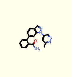 Cc1cc(-n2ncc3ccc(-c4ccccc4C(N)=O)cc32)cnn1